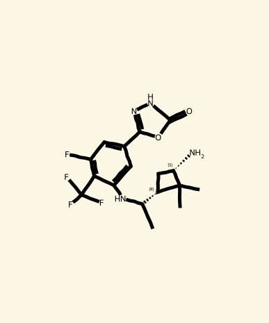 CC(Nc1cc(-c2n[nH]c(=O)o2)cc(F)c1C(F)(F)F)[C@@H]1C[C@H](N)C1(C)C